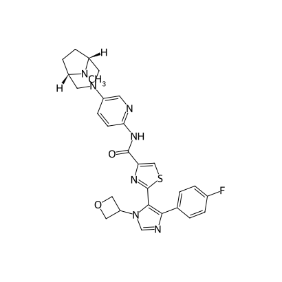 CN1[C@@H]2CC[C@H]1CN(c1ccc(NC(=O)c3csc(-c4c(-c5ccc(F)cc5)ncn4C4COC4)n3)nc1)C2